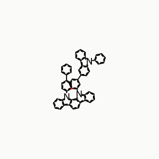 c1ccc(-c2ccc(-n3c4ccccc4c4ccc5c6ccccc6n(-c6cccc(-c7ccc8c(c7)c7ccccc7n8-c7ccccc7)c6)c5c43)cc2)cc1